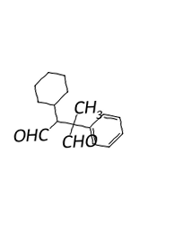 CC(C=O)(c1ccccc1)C(C=O)C1CCCCC1